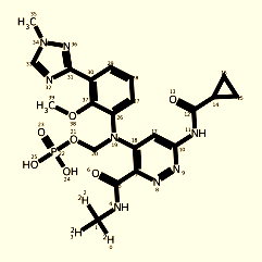 [2H]C([2H])([2H])NC(=O)c1nnc(NC(=O)C2CC2)cc1N(COP(=O)(O)O)c1cccc(-c2ncn(C)n2)c1OC